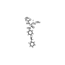 C[C@H](OC(C)(C)C)[C@@H](NC(=O)OC(C)(C)C)C(=O)Nc1ccc(C#Cc2ccccc2)cc1